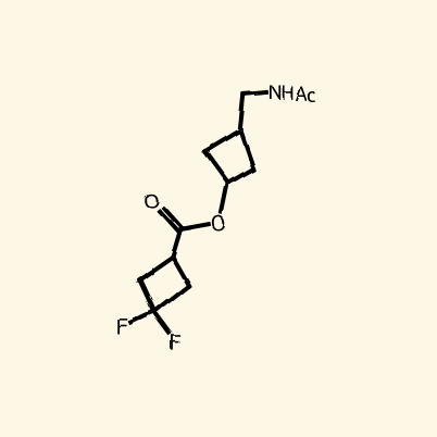 CC(=O)NCC1CC(OC(=O)C2CC(F)(F)C2)C1